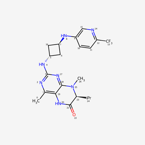 Cc1nc(N[C@H]2C[C@H](Nc3ccc(C(F)(F)F)nc3)C2)nc2c1NC(=O)[C@H](C(C)C)N2C